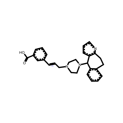 O=C(O)c1cccc(/C=C/CN2CCN(C3c4ccccc4CCc4ncccc43)CC2)c1